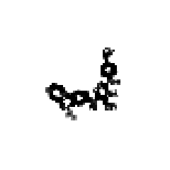 C#Cc1ccc(NC(=O)NC(CCC)C(=O)Nc2ccc(N3CCOCC3=O)c(C)c2)cc1